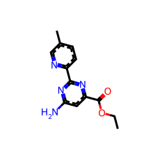 CCOC(=O)c1cc(N)nc(-c2ccc(C)cn2)n1